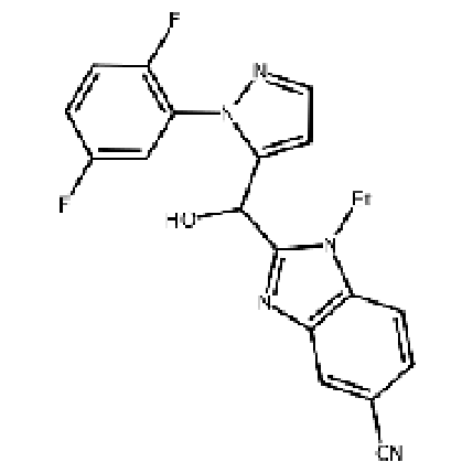 CCn1c(C(O)c2ccnn2-c2cc(F)ccc2F)nc2cc(C#N)ccc21